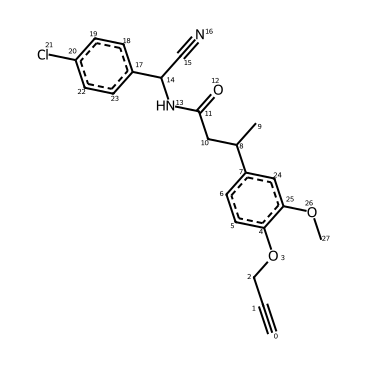 C#CCOc1ccc(C(C)CC(=O)NC(C#N)c2ccc(Cl)cc2)cc1OC